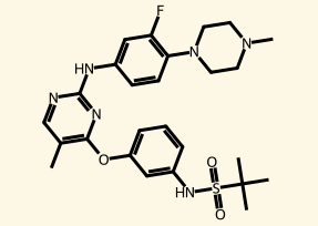 Cc1cnc(Nc2ccc(N3CCN(C)CC3)c(F)c2)nc1Oc1cccc(NS(=O)(=O)C(C)(C)C)c1